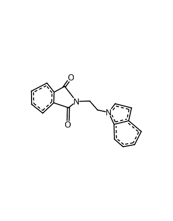 O=C1c2ccccc2C(=O)N1CCn1ccc2ccccc21